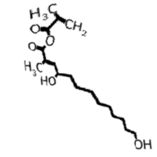 C=C(C)C(=O)OC(=O)C(C)=CC(O)CCCCCCCCCO